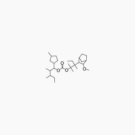 CCC(C)C(C)C(OC(=O)OC(C)(C)C(C)(CC)C1C2CCC(C2)C1OC)C1CCC(C)C1